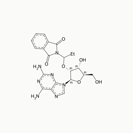 CCC(O[C@@H]1[C@H](O)[C@@H](CO)O[C@H]1n1cnc2c(N)nc(N)nc21)N1C(=O)c2ccccc2C1=O